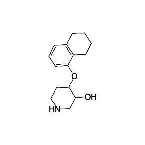 OC1CNCCC1Oc1cccc2c1CCCC2